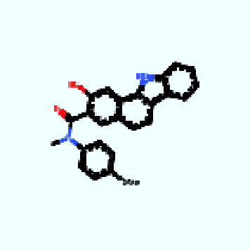 COc1ccc(N(C)C(=O)c2cc3ccc4c5ccccc5[nH]c4c3cc2O)cc1